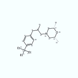 CC[Si](CC)(CC)c1ccc(CC(C)CN2C[C@@H](C)O[C@@H](C)C2)cc1